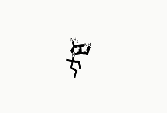 CCCC(C)(CC)n1cc(N)c2[nH]ccc21